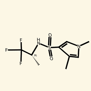 Cc1cn(C)cc1S(=O)(=O)N[C@H](C)C(F)(F)F